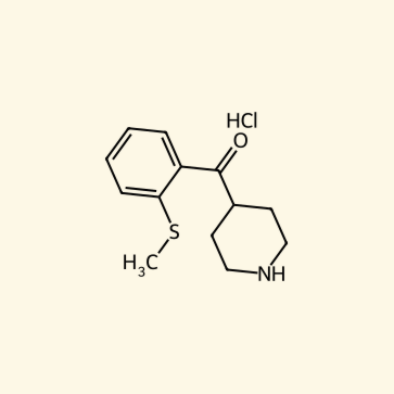 CSc1ccccc1C(=O)C1CCNCC1.Cl